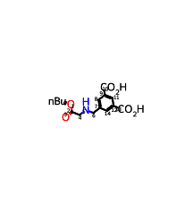 CCCCOC(=O)CNCc1cc(C(=O)O)cc(C(=O)O)c1